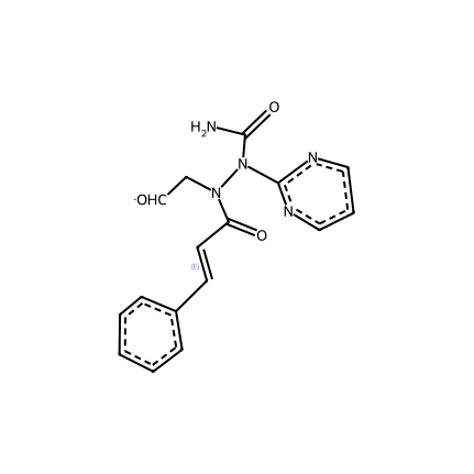 NC(=O)N(c1ncccn1)N(C[C]=O)C(=O)/C=C/c1ccccc1